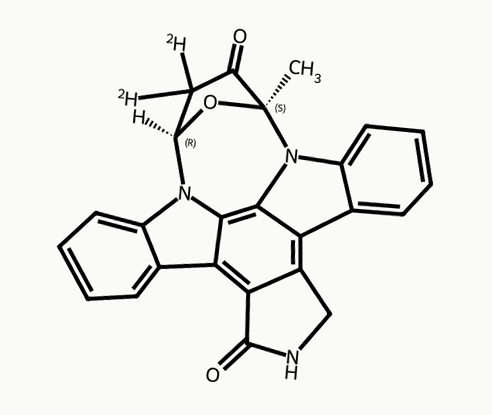 [2H]C1([2H])C(=O)[C@]2(C)O[C@H]1n1c3ccccc3c3c4c(c5c6ccccc6n2c5c31)CNC4=O